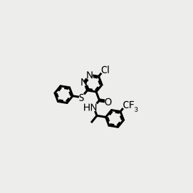 CC(NC(=O)c1cc(Cl)nnc1Sc1ccccc1)c1cccc(C(F)(F)F)c1